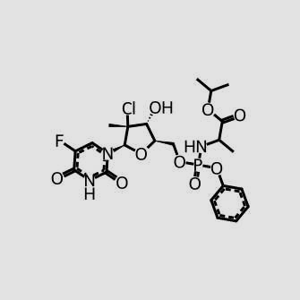 CC(C)OC(=O)C(C)NP(=O)(OC[C@H]1O[C@@H](n2cc(F)c(=O)[nH]c2=O)[C@](C)(Cl)[C@@H]1O)Oc1ccccc1